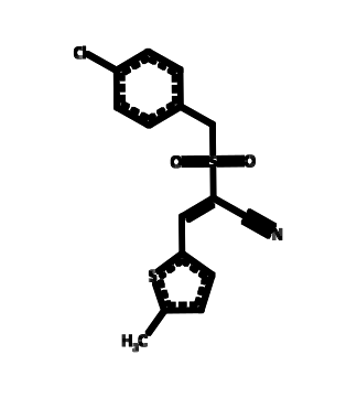 Cc1ccc(C=C(C#N)S(=O)(=O)Cc2ccc(Cl)cc2)s1